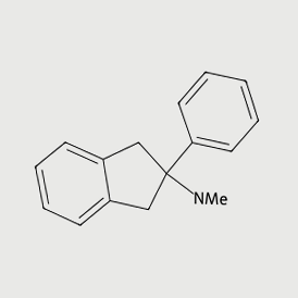 CNC1(c2ccccc2)Cc2ccccc2C1